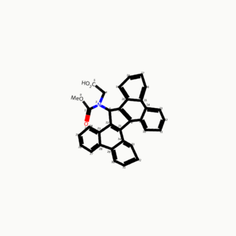 COC(=O)N(CC(=O)O)C1c2c(c3ccccc3c3ccccc23)-c2c1c1ccccc1c1ccccc21